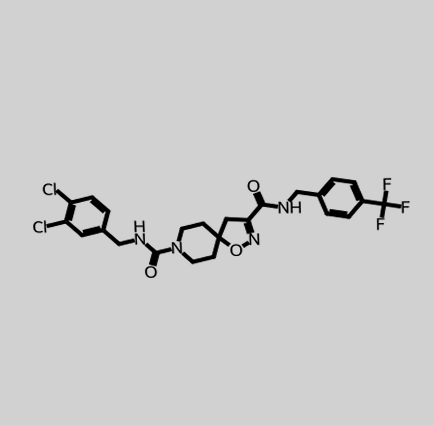 O=C(NCc1ccc(C(F)(F)F)cc1)C1=NOC2(CCN(C(=O)NCc3ccc(Cl)c(Cl)c3)CC2)C1